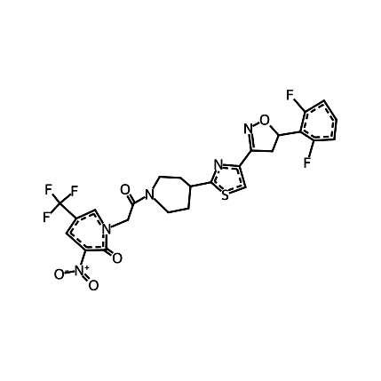 O=C(Cn1cc(C(F)(F)F)cc([N+](=O)[O-])c1=O)N1CCC(c2nc(C3=NOC(c4c(F)cccc4F)C3)cs2)CC1